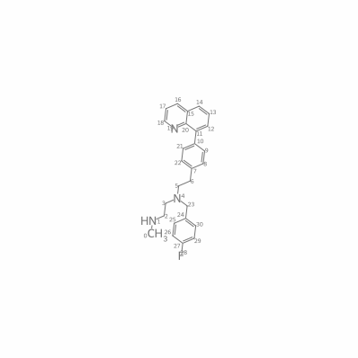 CNCCN(CCc1ccc(-c2cccc3cccnc23)cc1)Cc1ccc(F)cc1